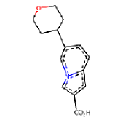 O=C(O)c1cc2ccc(C3CCOCC3)cn2c1